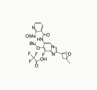 CCC(C)Oc1c(NC(=O)c2cccnc2OC)cn2cc(C34COC(C)(C3)C4)nc2c1F.O=C(O)C(F)(F)F